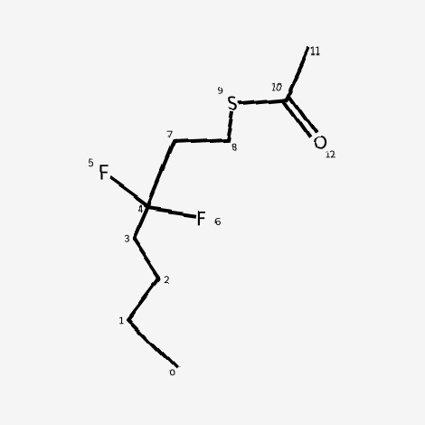 CCCCC(F)(F)CCSC(C)=O